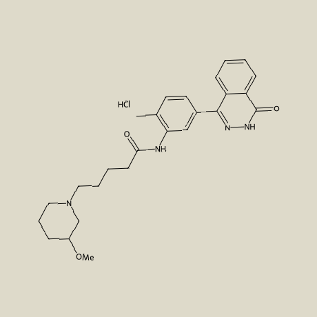 COC1CCCN(CCCCC(=O)Nc2cc(-c3n[nH]c(=O)c4ccccc34)ccc2C)C1.Cl